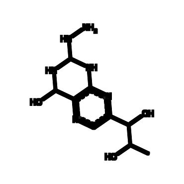 CC(O)C(O)c1cnc2c(n1)NC(NN)NC2O